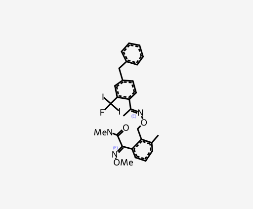 CNC(=O)/C(=N/OC)c1cccc(C)c1CO/N=C(\C)c1ccc(Cc2ccccc2)cc1C(F)(I)I